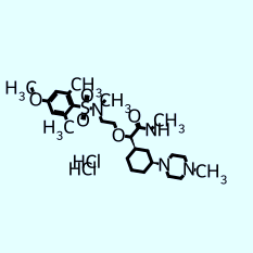 CNC(=O)C(OCCN(C)S(=O)(=O)c1c(C)cc(OC)cc1C)[C@@H]1CCC[C@H](N2CCN(C)CC2)C1.Cl.Cl